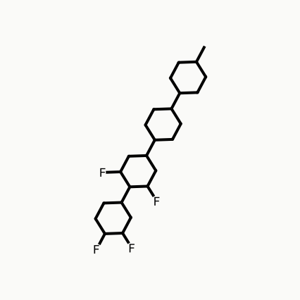 CC1CCC(C2CCC(C3CC(F)C(C4CCC(F)C(F)C4)C(F)C3)CC2)CC1